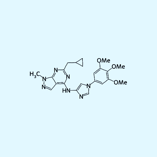 COc1cc(-n2cnc(Nc3nc(CC4CC4)nc4c3cnn4C)c2)cc(OC)c1OC